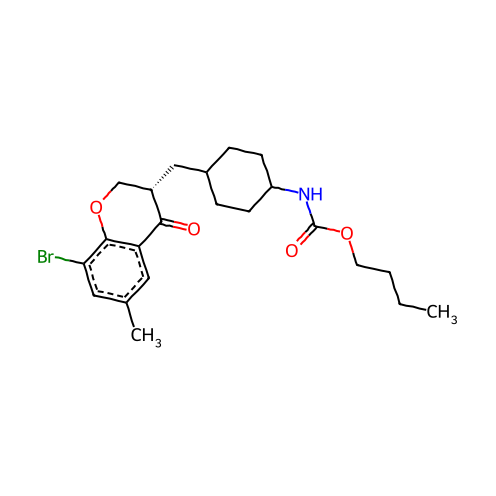 CCCCOC(=O)NC1CCC(C[C@H]2COc3c(Br)cc(C)cc3C2=O)CC1